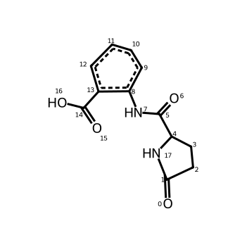 O=C1CCC(C(=O)Nc2ccccc2C(=O)O)N1